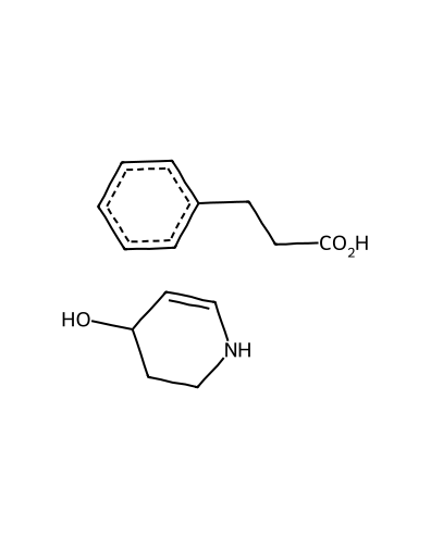 O=C(O)CCc1ccccc1.OC1C=CNCC1